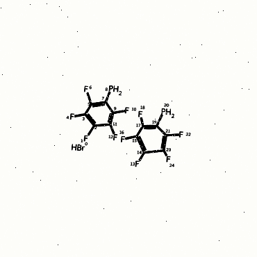 Br.Fc1c(F)c(F)c(P)c(F)c1F.Fc1c(F)c(F)c(P)c(F)c1F